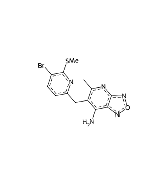 CSc1nc(Cc2c(C)nc3nonc3c2N)ccc1Br